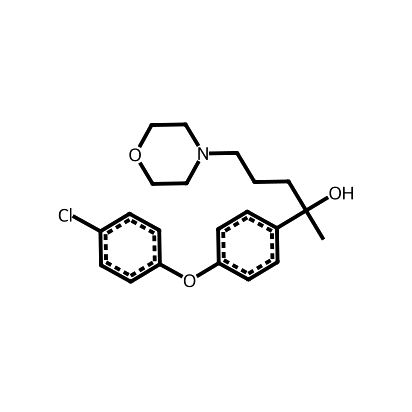 CC(O)(CCCN1CCOCC1)c1ccc(Oc2ccc(Cl)cc2)cc1